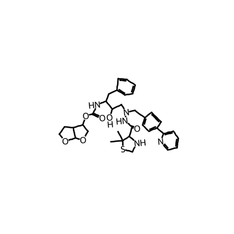 CC1(C)SCNC1C(=O)NN(Cc1ccc(-c2ccccn2)cc1)CC(O)C(Cc1ccccc1)NC(=O)OC1COC2OCCC12